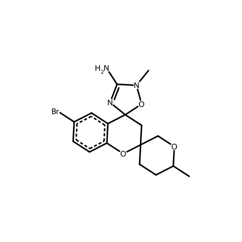 CC1CCC2(CO1)CC1(N=C(N)N(C)O1)c1cc(Br)ccc1O2